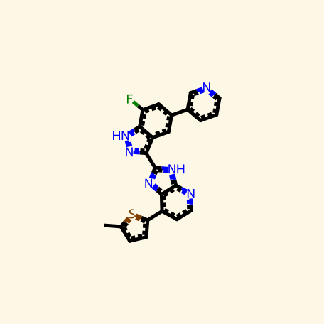 Cc1ccc(-c2ccnc3[nH]c(-c4n[nH]c5c(F)cc(-c6cccnc6)cc45)nc23)s1